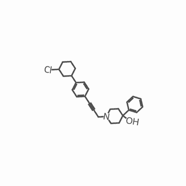 OC1(c2ccccc2)CCN(CC#Cc2ccc(C3CCCC(Cl)C3)cc2)CC1